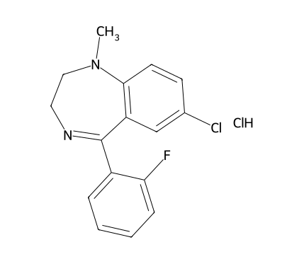 CN1CCN=C(c2ccccc2F)c2cc(Cl)ccc21.Cl